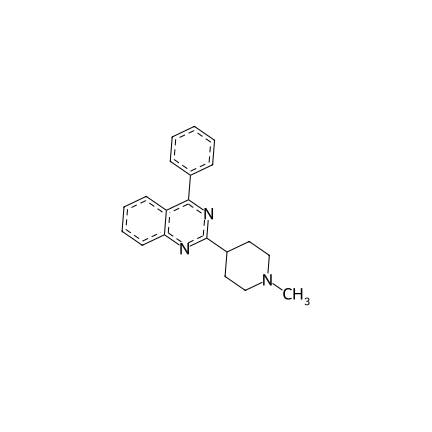 CN1CCC(c2nc(-c3ccccc3)c3ccccc3n2)CC1